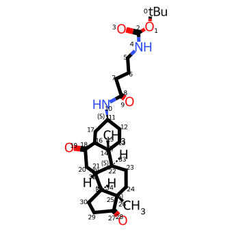 CC(C)(C)OC(=O)NCCCC(=O)N[C@H]1CC[C@@]2(C)C(C1)C(=O)C[C@@H]1[C@@H]2CC[C@]2(C)C(=O)CC[C@@H]12